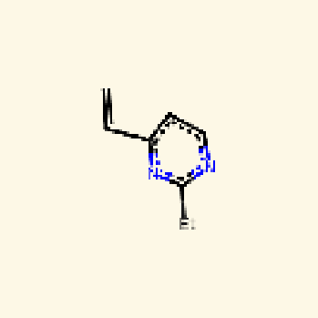 C=Cc1ccnc(CC)n1